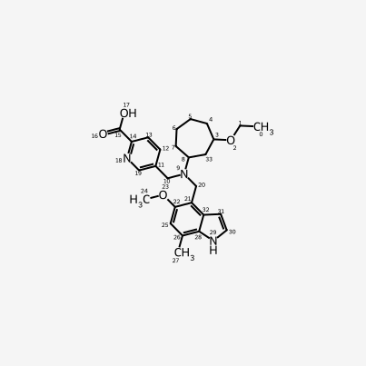 CCOC1CCCCC(N(Cc2ccc(C(=O)O)nc2)Cc2c(OC)cc(C)c3[nH]ccc23)C1